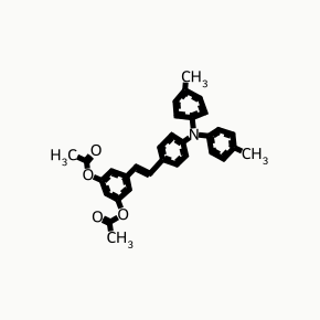 CC(=O)Oc1cc(C=Cc2ccc(N(c3ccc(C)cc3)c3ccc(C)cc3)cc2)cc(OC(C)=O)c1